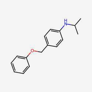 CC(C)Nc1ccc(COc2ccccc2)cc1